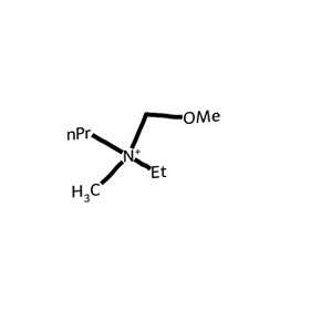 CCC[N+](C)(CC)COC